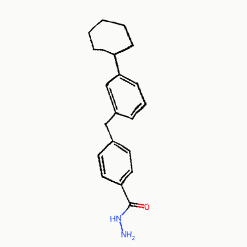 NNC(=O)c1ccc(Cc2cccc(C3CCCCC3)c2)cc1